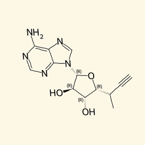 C#CC(C)[C@H]1O[C@@H](n2cnc3c(N)ncnc32)[C@H](O)[C@H]1O